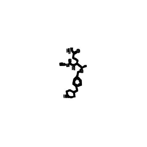 C[C@@H](OCc1ccc(CC2CCNCC2)cc1)[C@H](CCC(N)=O)NC(=O)OC(C)(C)C